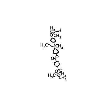 CCCC(C)(c1ccc(OC(=O)c2ccc(C(=O)OC(C)(C)CC)cc2)cc1)c1ccc(OC(C)(C)CCI)cc1